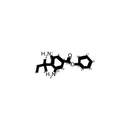 CCC(C)(C)c1c(N)cc(C(=O)Oc2ccccc2)cc1N